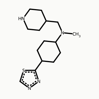 CN(CC1CCNCC1)C1CCC(c2nncs2)CC1